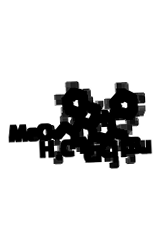 COCCC1c2c3c(cc4ccccc24)N(c2ccccc2)/C(=C/C(C)(C)C)C(C)=C3N(C)C1C